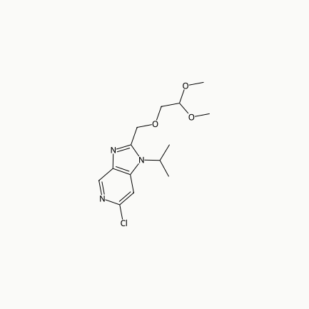 COC(COCc1nc2cnc(Cl)cc2n1C(C)C)OC